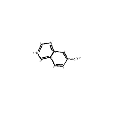 Clc1ccc2c(c1)=NC=[N+]C=2